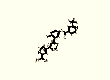 Cc1ccc(NC(=O)c2ccnc(C(C)(C)F)c2)cc1-c1cc(-c2ccnc(C(N)=O)c2)ncn1